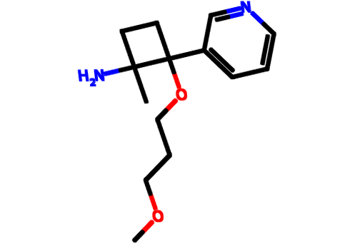 COCCCOC1(c2cccnc2)CCC1(C)N